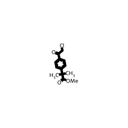 COC(=O)C(C)(C)c1ccc(C(=O)CCl)cc1